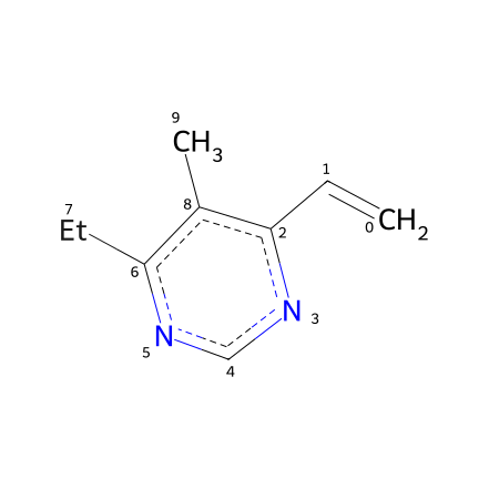 C=Cc1ncnc(CC)c1C